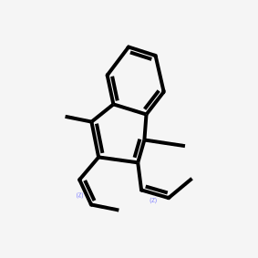 C/C=C\c1c(/C=C\C)c(C)c2ccccc2c1C